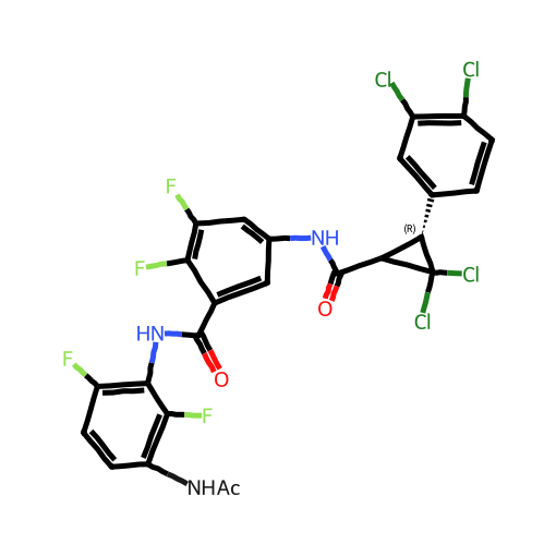 CC(=O)Nc1ccc(F)c(NC(=O)c2cc(NC(=O)C3[C@H](c4ccc(Cl)c(Cl)c4)C3(Cl)Cl)cc(F)c2F)c1F